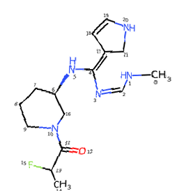 CN/C=N\C(N[C@@H]1CCCN(C(=O)C(C)F)C1)=C1\C=CNC1